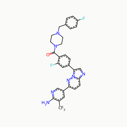 Nc1ncc(-c2ccc3ncc(-c4ccc(C(=O)N5CCN(Cc6ccc(F)cc6)CC5)c(F)c4)n3n2)cc1C(F)(F)F